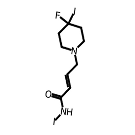 O=C(/C=C/CN1CCC(F)(I)CC1)NI